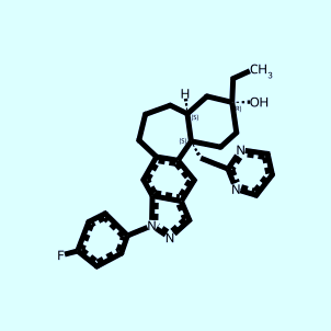 CC[C@@]1(O)CC[C@@]2(Cc3ncccn3)c3cc4cnn(-c5ccc(F)cc5)c4cc3CCC[C@H]2C1